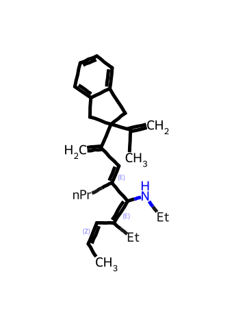 C=C(C)C1(C(=C)/C=C(CCC)/C(NCC)=C(\C=C/C)CC)Cc2ccccc2C1